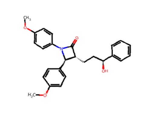 COc1ccc([C@@H]2[C@@H](CC[C@H](O)c3ccccc3)C(=O)N2c2ccc(OC)cc2)cc1